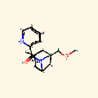 COCC12CC(C)CC(C1)N2C(=O)c1ccccn1